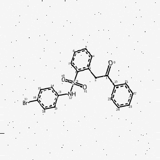 O=C(Cc1ccccc1S(=O)(=O)Nc1ccc(Br)cc1)c1ccccc1